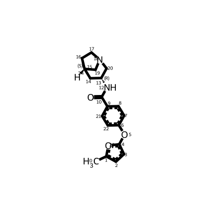 Cc1ccc(Oc2ccc(C(=O)N[C@@H]3C[C@@H]4CCN(C4)C3)cc2)o1